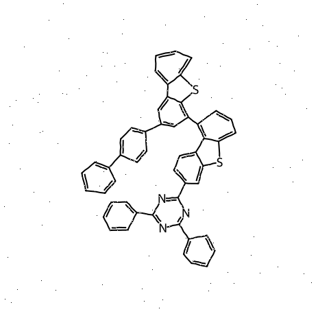 c1ccc(-c2ccc(-c3cc(-c4cccc5sc6cc(-c7nc(-c8ccccc8)nc(-c8ccccc8)n7)ccc6c45)c4sc5ccccc5c4c3)cc2)cc1